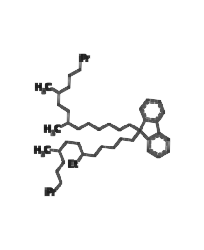 CCC(CCCCCC1(CCCCCCC(C)CCC(C)CCCC(C)C)c2ccccc2-c2ccccc21)CCC(C)CCCC(C)C